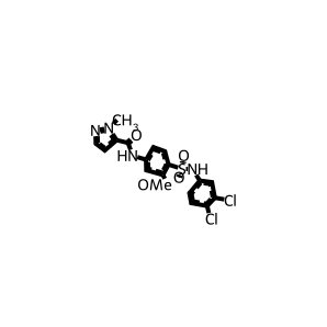 COc1cc(NC(=O)c2ccnn2C)ccc1S(=O)(=O)Nc1ccc(Cl)c(Cl)c1